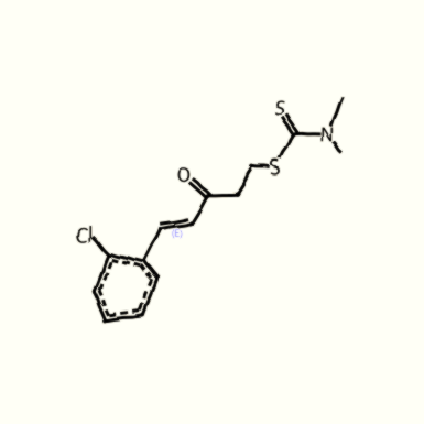 CN(C)C(=S)SCCC(=O)/C=C/c1ccccc1Cl